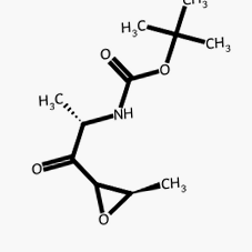 C[C@H](NC(=O)OC(C)(C)C)C(=O)C1O[C@@H]1C